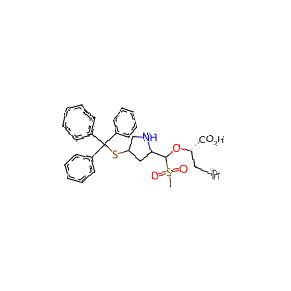 CC(C)C[C@H](OC(C1CC(SC(c2ccccc2)(c2ccccc2)c2ccccc2)CN1)S(C)(=O)=O)C(=O)O